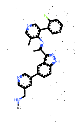 CCNCc1cncc(-c2ccc3[nH]nc(/C(C)=N/c4c(C)cncc4-c4ccccc4F)c3c2)c1